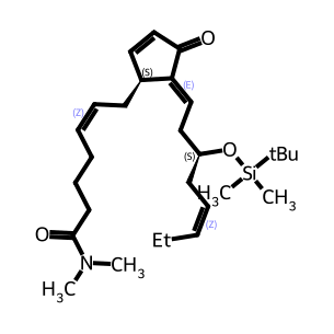 CC/C=C\C[C@@H](C/C=C1/C(=O)C=C[C@@H]1C/C=C\CCCC(=O)N(C)C)O[Si](C)(C)C(C)(C)C